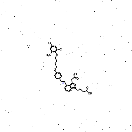 Cc1cc(Cl)cc(Cl)c1OCCCCOc1ccc(/C=C/c2cccc3c2c(CC(=O)O)cn3CCCC(=O)O)cc1